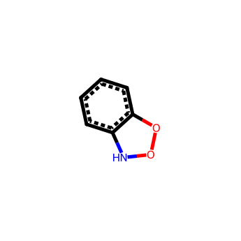 c1ccc2c(c1)NOO2